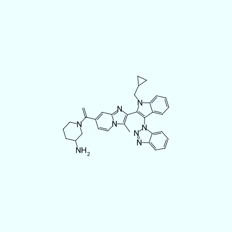 C=C(c1ccn2c(C)c(-c3c(-n4nnc5ccccc54)c4ccccc4n3CC3CC3)nc2c1)N1CCCC(N)C1